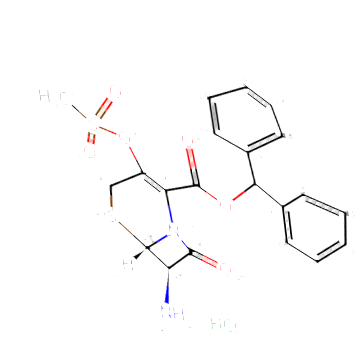 CS(=O)(=O)OC1=C(C(=O)OC(c2ccccc2)c2ccccc2)N2C(=O)[C@@H](N)[C@@H]2SC1.Cl